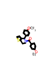 CCOc1ccc(C(=O)N2CCc3sccc3C2c2ccc(OC(F)(F)F)cc2)cc1